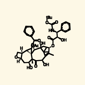 CC(=O)O[C@@H]1C2[C@@H]3CO[C@@H]3C[C@H](O)[C@@]3(C)C(=O)[C@H](O)C4=C(C)[C@@H](OC(=O)[C@H](O)[C@@H](NC(=O)OC(C)(C)C)c5ccccc5)C[C@@](O)([C@@H](OC(=O)c5ccccc5)[C@]213)C4(C)C